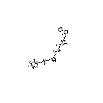 Cc1nc(NCCNC(=O)CCc2cnnn2CCNC(=O)CCC[C@H]2SC[C@H]3NC(=O)N[C@H]32)nc(OCc2cccc(-c3ccccc3)c2C)n1